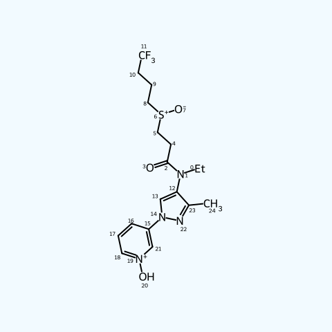 CCN(C(=O)CC[S+]([O-])CCCC(F)(F)F)c1cn(-c2ccc[n+](O)c2)nc1C